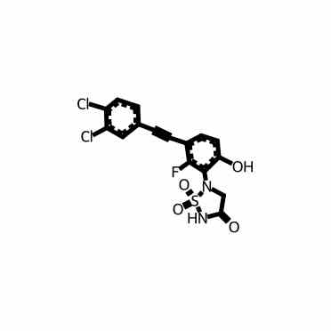 O=C1CN(c2c(O)ccc(C#Cc3ccc(Cl)c(Cl)c3)c2F)S(=O)(=O)N1